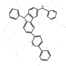 c1ccc(Nc2ccc3c(c2)c2cc(-c4ccc(-c5ccccc5)cc4)ccc2n3-c2ccccc2)cc1